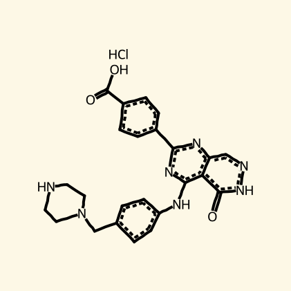 Cl.O=C(O)c1ccc(-c2nc(Nc3ccc(CN4CCNCC4)cc3)c3c(=O)[nH]ncc3n2)cc1